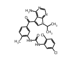 Cc1ccc(C(=O)c2cn(C(C)C)c3ncnc(N)c23)cc1NC(=O)Nc1cc(Cl)ccc1Cl